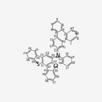 c1ccc(-c2ccccc2-c2ccc(N(c3ccccc3)c3cc4c5ccccc5sc4c4c3oc3ccccc34)cc2)cc1